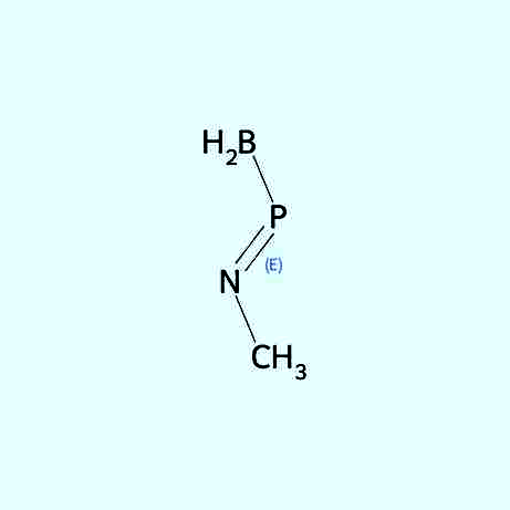 B/P=N/C